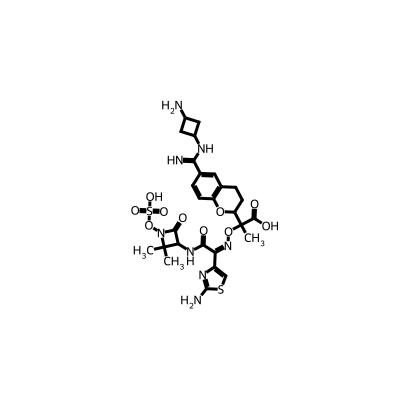 CC(ON=C(C(=O)NC1C(=O)N(OS(=O)(=O)O)C1(C)C)c1csc(N)n1)(C(=O)O)C1CCc2cc(C(=N)NC3CC(N)C3)ccc2O1